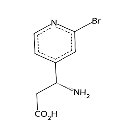 N[C@H](CC(=O)O)c1ccnc(Br)c1